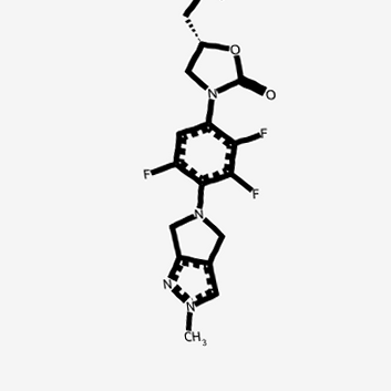 CC[C@H]1CN(c2cc(F)c(N3Cc4cn(C)nc4C3)c(F)c2F)C(=O)O1